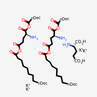 CCCCCCCCCCCCCCCCCC(=O)OC(=O)CC[C@H](N)C(=O)OC(=O)CCCCCCCCCC.CCCCCCCCCCCCCCCCCC(=O)OC(=O)CC[C@H](N)C(=O)OC(=O)CCCCCCCCCC.N[C@@H](CCC(=O)O)C(=O)O.[K+].[K+].[K+].[K+]